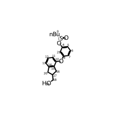 CCCCS(=O)Oc1cccc(Oc2cccc3c2CC(CO)C3)c1